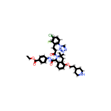 CCOC(=O)c1ccc(NC(=O)C2c3cccc(OCCC4CCNCC4)c3CC(C)(C)N2C(=O)/C=C/c2c(-n3cnnn3)ccc(Cl)c2F)cc1